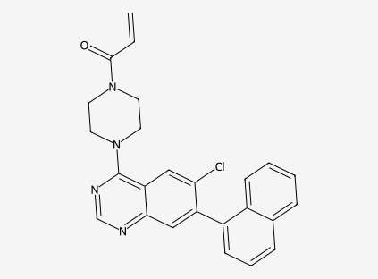 C=CC(=O)N1CCN(c2ncnc3cc(-c4cccc5ccccc45)c(Cl)cc23)CC1